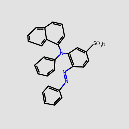 O=S(=O)(O)c1ccc(N=Nc2ccccc2)c(N(c2ccccc2)c2cccc3ccccc23)c1